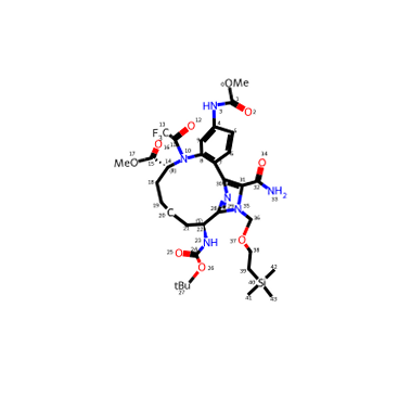 COC(=O)Nc1ccc2c(c1)N(C(=O)C(F)(F)F)[C@@H](C(=O)OC)CCCC[C@H](NC(=O)OC(C)(C)C)c1nc-2c(C(N)=O)n1COCC[Si](C)(C)C